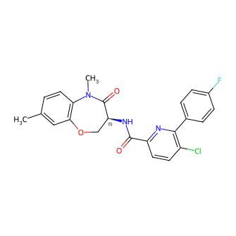 Cc1ccc2c(c1)OC[C@H](NC(=O)c1ccc(Cl)c(-c3ccc(F)cc3)n1)C(=O)N2C